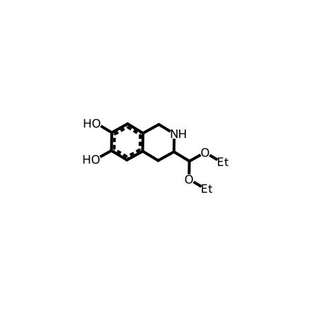 CCOC(OCC)C1Cc2cc(O)c(O)cc2CN1